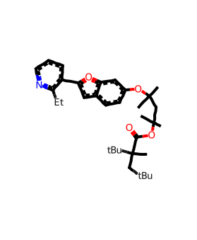 CCc1ncccc1-c1cc2ccc(OC(C)(C)CC(C)(C)OC(=O)C(C)(CC(C)(C)C)C(C)(C)C)cc2o1